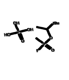 CC(OP(C)(=O)F)C(C)(C)C.O=P(O)(O)O